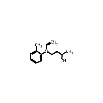 C=CN(CCC(C)C)c1ccccc1C